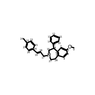 COc1ccc2c(c1)C(c1ccccc1)CN(CC=Cc1ccc(C)cc1)CC2